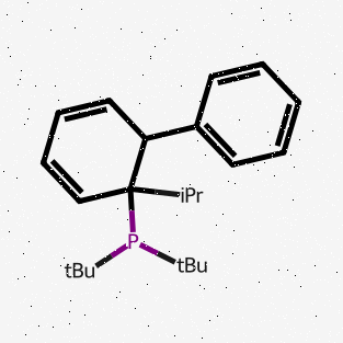 CC(C)C1(P(C(C)(C)C)C(C)(C)C)C=CC=CC1c1ccccc1